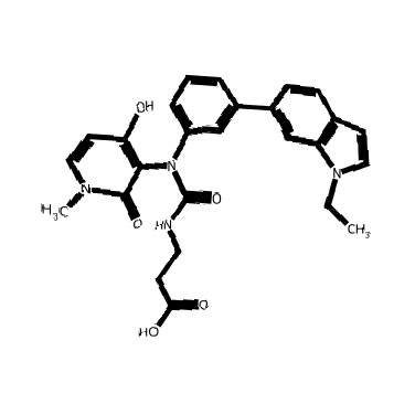 CCn1ccc2ccc(-c3cccc(N(C(=O)NCCC(=O)O)c4c(O)ccn(C)c4=O)c3)cc21